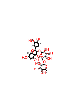 CC1O[C@@H](OCC2O[C@@H](Oc3c(-c4ccc(O)c(O)c4)oc4cc(O)cc(O)c4c3=O)[C@@H](O)C(O)[C@@H]2O)[C@@H](O)C(O)[C@H]1O